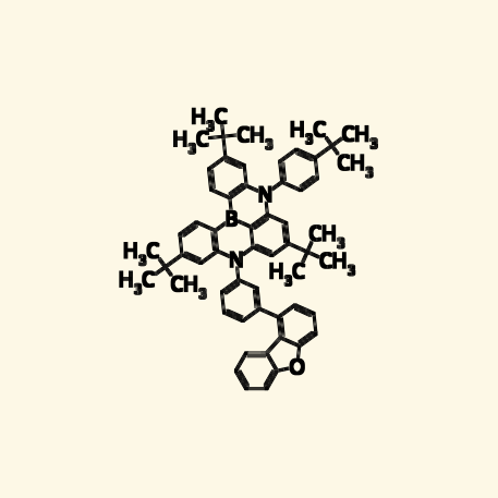 CC(C)(C)c1ccc(N2c3cc(C(C)(C)C)ccc3B3c4ccc(C(C)(C)C)cc4N(c4cccc(-c5cccc6oc7ccccc7c56)c4)c4cc(C(C)(C)C)cc2c43)cc1